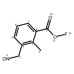 Cc1c(CN=O)cccc1C(=O)OF